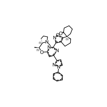 C[C@H](Oc1cc(-c2ccn(-c3ccccc3)n2)nc(-c2noc3c2CCC[C@@]32CCCCC2=O)n1)[C@@H]1CCCN1C